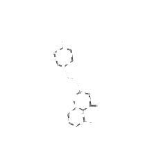 Cc1c(SCc2ccc(C(C)(C)C)cc2)oc2cccc(C)c2c1=O